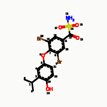 CC(C)c1cc(Oc2c(Br)cc(C(=O)S(N)(=O)=O)cc2Br)ccc1O